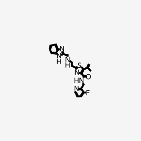 C=C(C)c1sc(CCNCc2nc3ccccc3[nH]2)nc1C(=O)NCc1ncccc1F